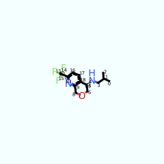 CC(C)CN[C@@H]1COCc2nc(C(F)(F)F)ccc21